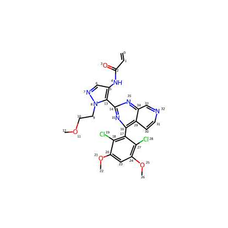 C=CC(=O)Nc1cnn(CCOC)c1-c1nc(-c2c(Cl)c(OC)cc(OC)c2Cl)c2ccncc2n1